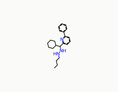 CCCCNNC(c1cccc(-c2ccccc2)n1)C1CCCCC1